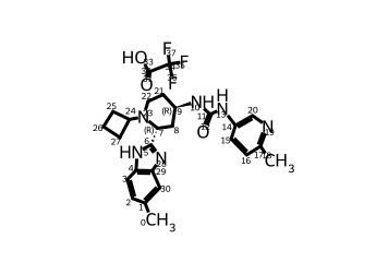 Cc1ccc2[nH]c([C@H]3C[C@H](NC(=O)Nc4ccc(C)nc4)CCN3C3CCC3)nc2c1.O=C(O)C(F)(F)F